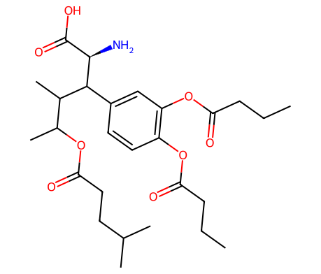 CCCC(=O)Oc1ccc(C(C(C)C(C)OC(=O)CCC(C)C)[C@H](N)C(=O)O)cc1OC(=O)CCC